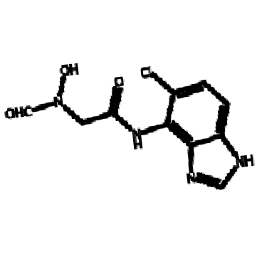 O=CN(O)CC(=O)Nc1c(Cl)ccc2[nH]cnc12